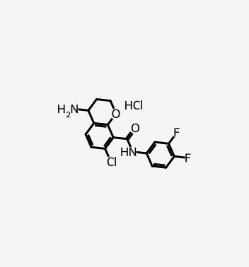 Cl.NC1CCOc2c1ccc(Cl)c2C(=O)Nc1ccc(F)c(F)c1